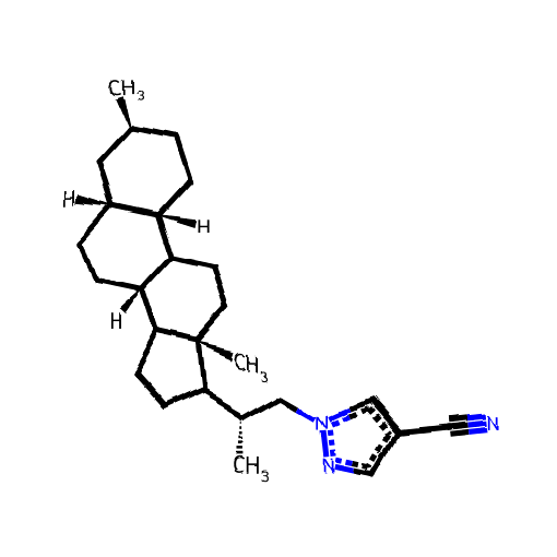 C[C@H]1CC[C@@H]2C3CC[C@@]4(C)C(CCC4[C@@H](C)Cn4cc(C#N)cn4)[C@@H]3CC[C@@H]2C1